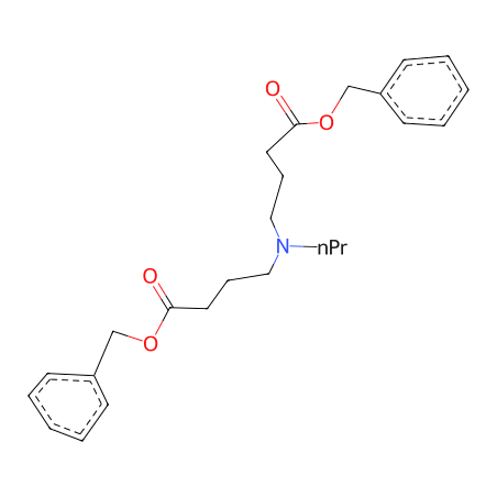 CCCN(CCCC(=O)OCc1ccccc1)CCCC(=O)OCc1ccccc1